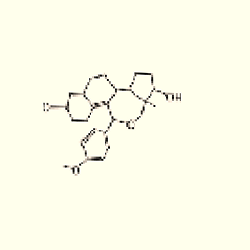 COc1ccc(C2OCC3(C)C(O)CCC3C3CCC4=CC(=O)CCC4=C23)cc1